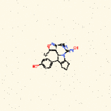 Cc1noc(C)c1C1C(c2ccc(O)cc2)C2=C(CCC2)N1/C(N)=N/O